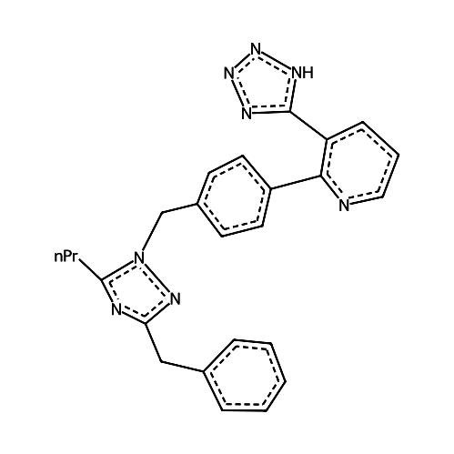 CCCc1nc(Cc2ccccc2)nn1Cc1ccc(-c2ncccc2-c2nnn[nH]2)cc1